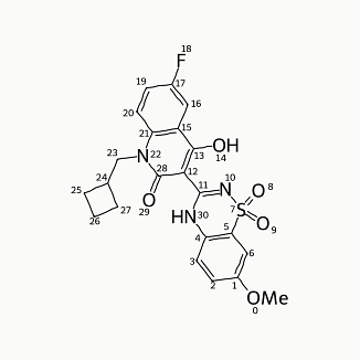 COc1ccc2c(c1)S(=O)(=O)N=C(c1c(O)c3cc(F)ccc3n(CC3CCC3)c1=O)N2